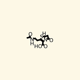 CC(=O)NCCC1=C(C(=O)O)N2C(=O)C[C@H]2S1